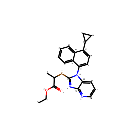 CCOC(=O)C(C)Sc1nc2ncccc2n1-c1ccc(C2CC2)c2ccccc12